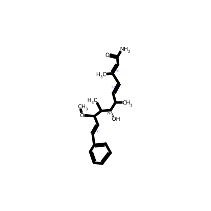 COC(/C=C/c1ccccc1)C(C)[C@@H](O)C(C)/C=C/C(C)=C/C(N)=O